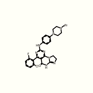 CC(C)N1CCN(c2ccc(Nc3nc(-c4c(F)cccc4Cl)c4c(n3)N3CCN=C3NC4=O)cc2)CC1